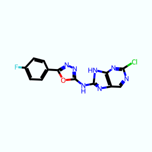 Fc1ccc(-c2nnc(Nc3nc4cnc(Cl)nc4[nH]3)o2)cc1